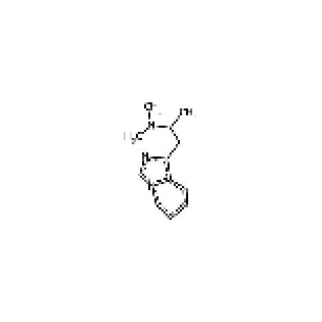 CC(Cc1ncn2ccccc12)N(C)C